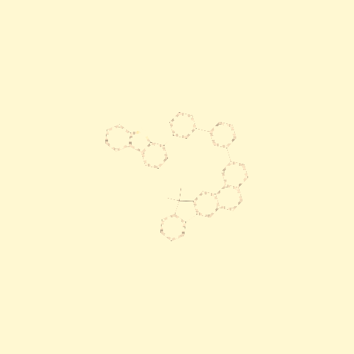 CC1(C)c2ccccc2-c2cc3ccc4ccc(-c5cccc(-c6cccc(-c7cccc8c7sc7ccccc78)c6)c5)cc4c3cc21